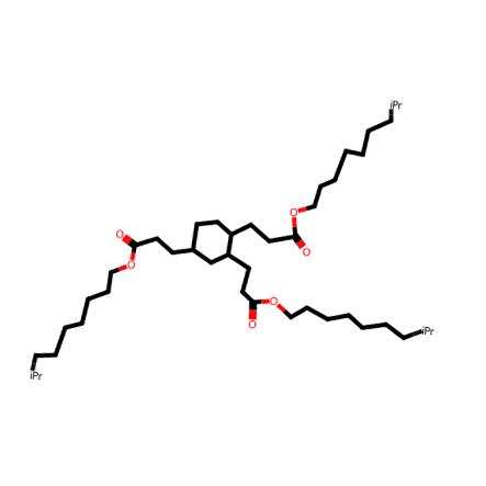 CC(C)CCCCCCCOC(=O)CCC1CCC(CCC(=O)OCCCCCCCC(C)C)C(CCC(=O)OCCCCCCCC(C)C)C1